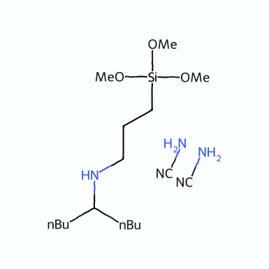 CCCCC(CCCC)NCCC[Si](OC)(OC)OC.N#CN.N#CN